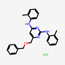 Cc1ccccc1Nc1cc(COCc2ccccc2)nc(Nc2ccccc2C)n1.Cl